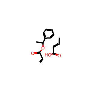 C/C=C/C(=O)O.C=CC(=O)OC(C)c1ccccc1